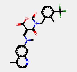 Cc1c(CN(C=O)C(=O)/C(=C\N(C)c2ccc3c(C)ccnc3c2)C(=O)O)cccc1C(F)(F)F